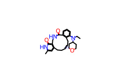 CCN(c1cccc2c1C/C=C\CCc1cc(C)[nH]c(=O)c1CNC2=O)C1CCOCC1